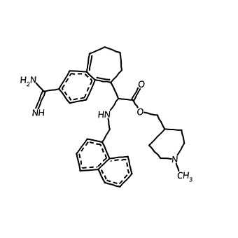 CN1CCC(COC(=O)C(NCc2cccc3ccccc23)C2=c3ccc(C(=N)N)cc3=CCCC2)CC1